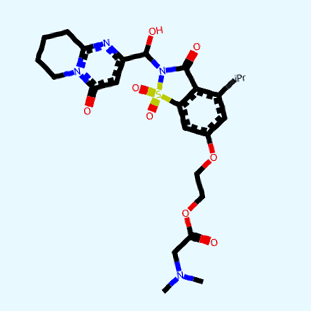 CC(C)c1cc(OCCOC(=O)CN(C)C)cc2c1C(=O)N(C(O)c1cc(=O)n3c(n1)CCCC3)S2(=O)=O